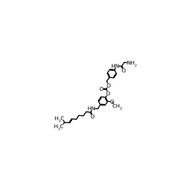 COc1cc(CNC(=O)CCCCC=CC(C)C)ccc1OC(=O)OCc1ccc(NC(=O)CN)cc1